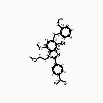 COCCn1c(-c2ccc(C(C)C)cc2)nc2c(Br)c(Cc3ccccc3SC)cc(OC)c21